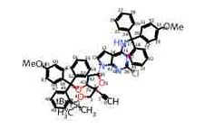 C#C[C@]1(CO[Si](C)(C)C(C)(C)C)O[C@@H](n2ccc3c(NC(c4ccccc4)(c4ccccc4)c4ccc(OC)cc4)nc(Cl)nc32)C[C@@H]1OC(c1ccccc1)(c1ccccc1)c1ccc(OC)cc1